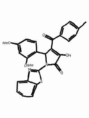 COc1ccc(C2C(C(=O)c3ccc(C)cc3)=C(O)C(=O)N2c2nc3ccccc3s2)c(OC)c1